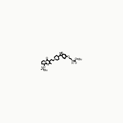 Cc1nc2n(c(=O)c1CCN1CCC(c3noc4cc(OCCNC(=O)OC(C)(C)C)ccc34)CC1)CCCC2O[Si](C)(C)C(C)(C)C